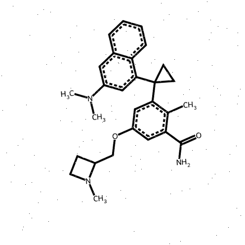 Cc1c(C(N)=O)cc(OCC2CCN2C)cc1C1(c2cc(N(C)C)cc3ccccc23)CC1